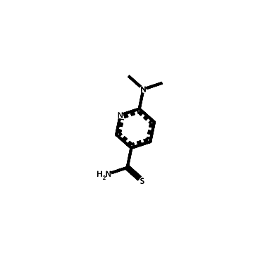 CN(C)c1ccc(C(N)=S)cn1